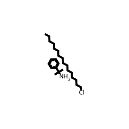 CC(C)(N)c1ccccc1.CCCCCCCCCCCCCCCCCl